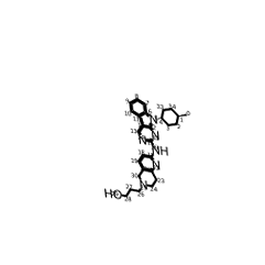 C[C@H]1CC[C@H](n2c3ccccc3c3cnc(Nc4ccc5c(n4)CCN(CCCO)C5)nc32)CC1